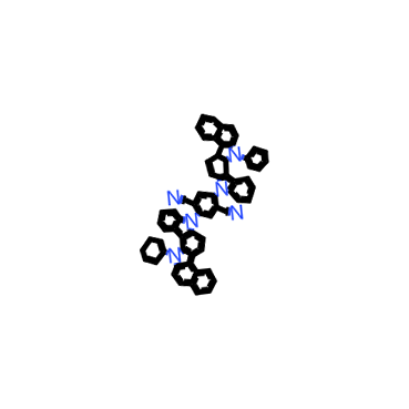 N#Cc1cc(-n2c3ccccc3c3c4c(ccc32)c2c3ccccc3ccc2n4C2=CCCC=C2)c(C#N)cc1-n1c2c(c3ccccc31)C1C(C=C2)c2c(ccc3ccccc23)N1c1ccccc1